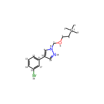 C[Si](C)(C)CCOCn1cc(-c2cccc(Br)c2)cn1